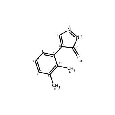 Cc1cccc(C2=CN=NC2=O)c1C